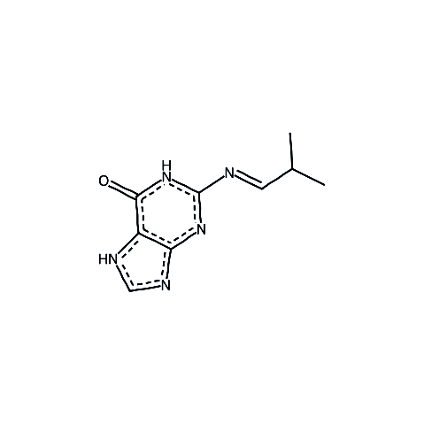 CC(C)C=Nc1nc2nc[nH]c2c(=O)[nH]1